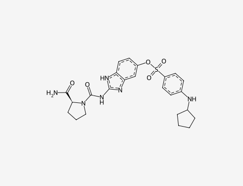 NC(=O)[C@@H]1CCCN1C(=O)Nc1nc2cc(OS(=O)(=O)c3ccc(NC4CCCC4)cc3)ccc2[nH]1